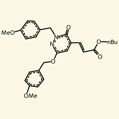 CCCCOC(=O)C=Cc1cc(OCc2ccc(OC)cc2)nn(Cc2ccc(OC)cc2)c1=O